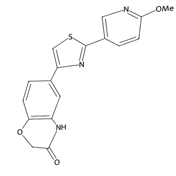 COc1ccc(-c2nc(-c3ccc4c(c3)NC(=O)CO4)cs2)cn1